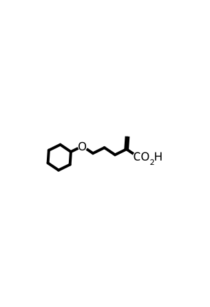 C=C(CCCOC1CCCCC1)C(=O)O